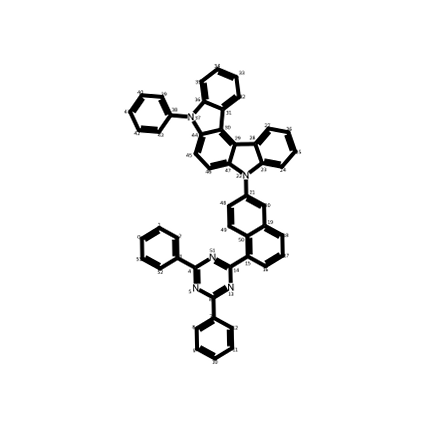 c1ccc(-c2nc(-c3ccccc3)nc(-c3cccc4cc(-n5c6ccccc6c6c7c8ccccc8n(-c8ccccc8)c7ccc65)ccc34)n2)cc1